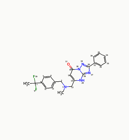 CN(Cc1ccc(C(C)(F)F)cc1)Cc1cc(=O)n2nc(-c3ccccc3)nc2[nH]1